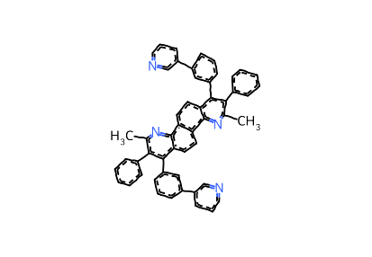 Cc1nc2c(ccc3c2ccc2c(-c4cccc(-c5cccnc5)c4)c(-c4ccccc4)c(C)nc23)c(-c2cccc(-c3cccnc3)c2)c1-c1ccccc1